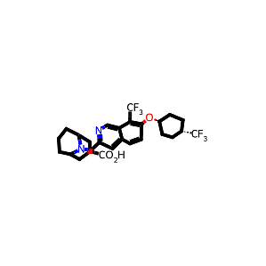 O=C(O)C1CC2CCCC(C1)N2Cc1cc2ccc(O[C@H]3CC[C@@H](C(F)(F)F)CC3)c(C(F)(F)F)c2cn1